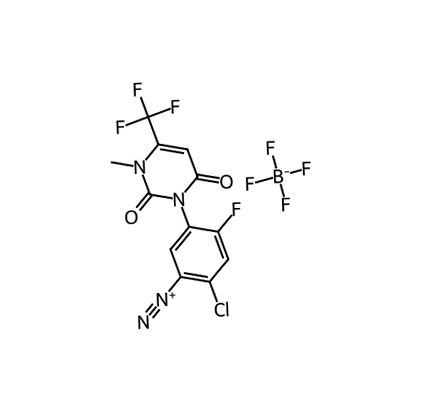 Cn1c(C(F)(F)F)cc(=O)n(-c2cc([N+]#N)c(Cl)cc2F)c1=O.F[B-](F)(F)F